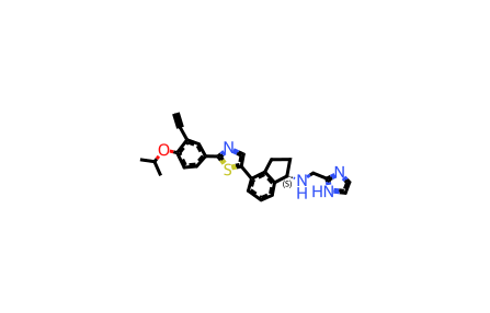 C#Cc1cc(-c2ncc(-c3cccc4c3CC[C@@H]4NCc3ncc[nH]3)s2)ccc1OC(C)C